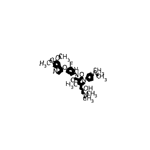 COc1cc2nccc(Oc3ccc(NC(=O)c4c(C)c(CC(O)CN(C)C)cn(-c5ccc(N(C)C)cc5)c4=O)cc3F)c2cc1OC